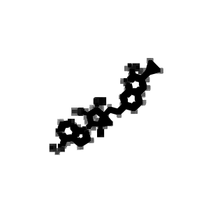 Nc1nc2cc(CC[C@@]34C[C@@H]3[C@@H](n3ccc5c(N)ncnc53)[C@H](O)[C@@H]4O)ccc2cc1C1CC1